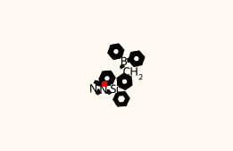 C=CB(c1ccccc1)c1ccccc1.c1ccc([Si](Cn2ccnc2)(c2ccccc2)C2CCCCC2)cc1